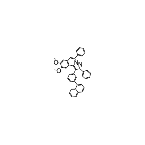 COc1cc2cc(-c3ccccc3)n3nc(-c4ccccc4)c(-c4cccc(-c5cccc6ccccc56)c4)c3c2cc1OC